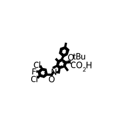 Cc1ccc(-c2c(C)c3c(c(C)c2[C@H](OC(C)(C)C)C(=O)O)CN(C(=O)c2cc(Cl)c(F)c(Cl)c2)C3)cc1